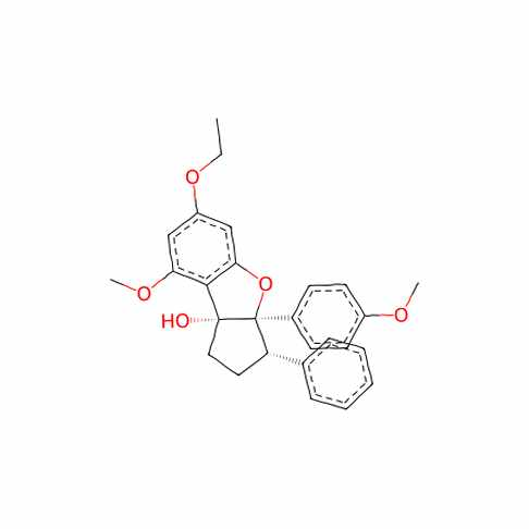 CCOc1cc(OC)c2c(c1)O[C@@]1(c3ccc(OC)cc3)[C@H](c3ccccc3)CC[C@@]21O